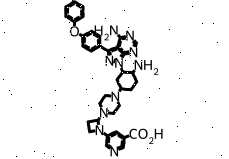 Nc1ncnc2c1c(-c1ccc(Oc3ccccc3)cc1)nn2C1CC(N2CCN(C3CCN3c3cncc(C(=O)O)c3)CC2)CCC1N